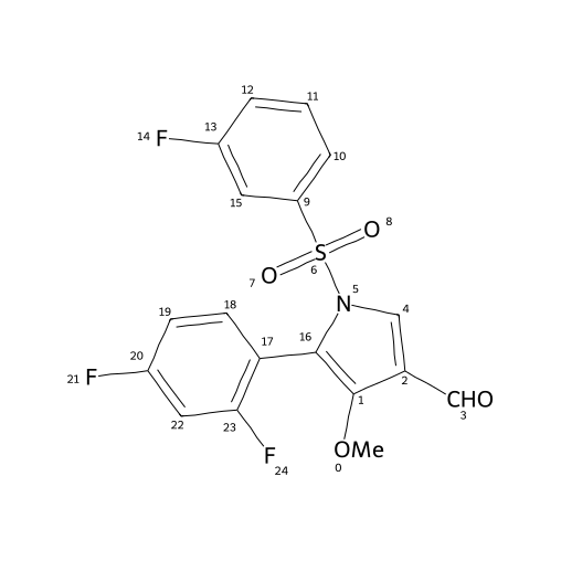 COc1c(C=O)cn(S(=O)(=O)c2cccc(F)c2)c1-c1ccc(F)cc1F